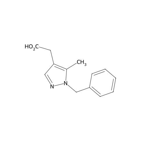 Cc1c(CC(=O)O)cnn1Cc1ccccc1